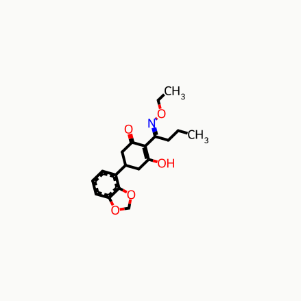 CCC/C(=N\OCC)C1=C(O)CC(c2cccc3c2OCO3)CC1=O